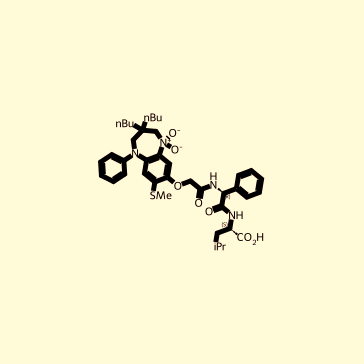 CCCCC1(CCCC)CN(c2ccccc2)c2cc(SC)c(OCC(=O)N[C@@H](C(=O)N[C@@H](CC(C)C)C(=O)O)c3ccccc3)cc2[N+]([O-])([O-])C1